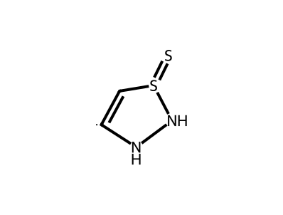 S=S1C=[C]NN1